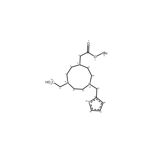 CC(C)(C)OC(=O)CN1CCN(CC(=O)O)CCN(Cc2cccs2)CC1